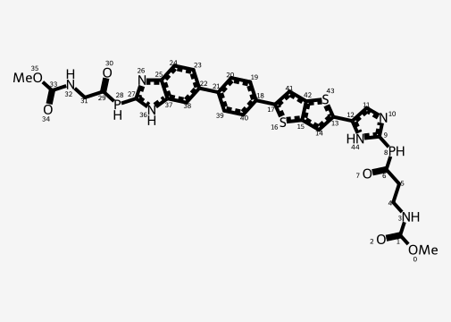 COC(=O)NCCC(=O)Pc1ncc(-c2cc3sc(-c4ccc(-c5ccc6nc(PC(=O)CNC(=O)OC)[nH]c6c5)cc4)cc3s2)[nH]1